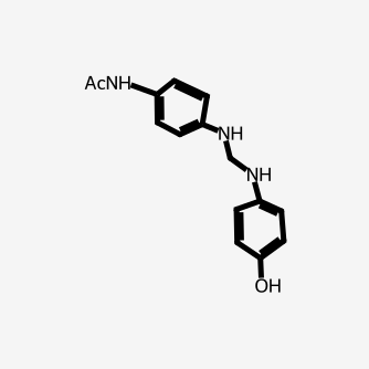 CC(=O)Nc1ccc(NCNc2ccc(O)cc2)cc1